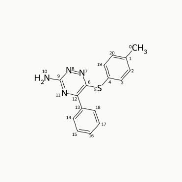 Cc1ccc(Sc2nnc(N)nc2-c2ccccc2)cc1